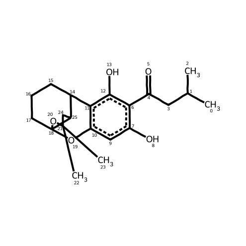 CC(C)CC(=O)c1c(O)cc2c(c1O)C1CCCC3(O2)OC(C)(C)CC13